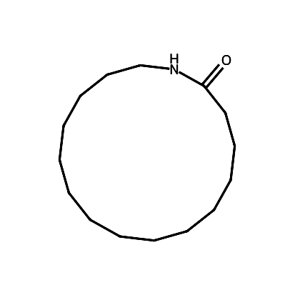 O=C1CCCCCCCCCCCCCCN1